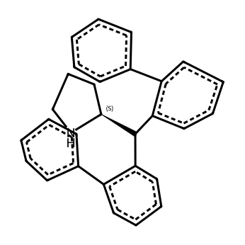 c1ccc(-c2ccccc2C(c2ccccc2-c2ccccc2)[C@@H]2CCCN2)cc1